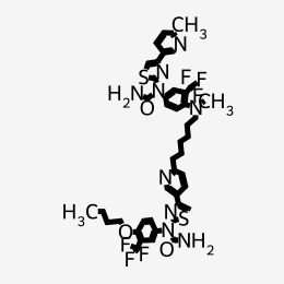 CCCCOc1ccc(N(C(N)=O)c2nc(-c3ccc(CCCCCCN(C)c4ccc(N(C(N)=O)c5nc(-c6ccc(C)nc6)cs5)cc4C(F)(F)F)nc3)cs2)cc1C(F)(F)F